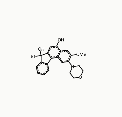 CCC1(O)c2ccccc2-c2c1cc(O)c1cc(OC)c(N3CCOCC3)cc21